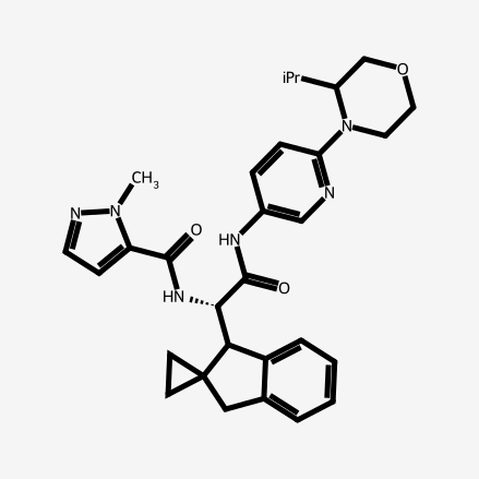 CC(C)C1COCCN1c1ccc(NC(=O)[C@@H](NC(=O)c2ccnn2C)C2c3ccccc3CC23CC3)cn1